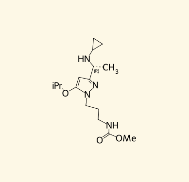 COC(=O)NCCCn1nc([C@@H](C)NC2CC2)cc1OC(C)C